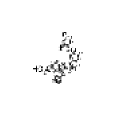 Cc1cc2c(nc1OCc1ccc(Cl)cc1F)CN(Cc1nc3ccc(C(=O)O)cc3n1C[C@@H]1CCO1)CC2